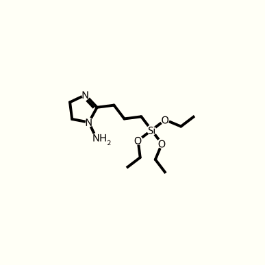 CCO[Si](CCCC1=NCCN1N)(OCC)OCC